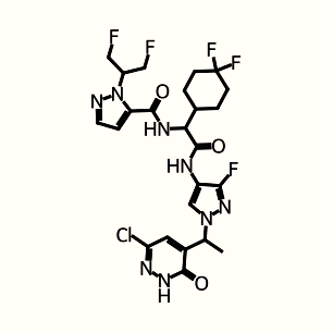 CC(c1cc(Cl)n[nH]c1=O)n1cc(NC(=O)C(NC(=O)c2ccnn2C(CF)CF)C2CCC(F)(F)CC2)c(F)n1